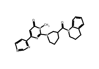 Cn1c(N2CCCC(C(=O)N3CCCc4ccccc43)C2)nc(-c2ccncn2)cc1=O